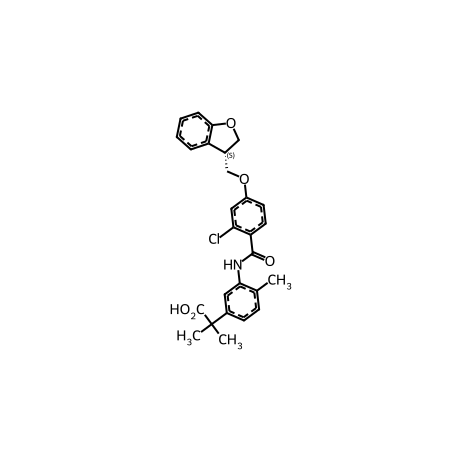 Cc1ccc(C(C)(C)C(=O)O)cc1NC(=O)c1ccc(OC[C@H]2COc3ccccc32)cc1Cl